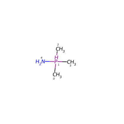 C[PH](C)(C)N